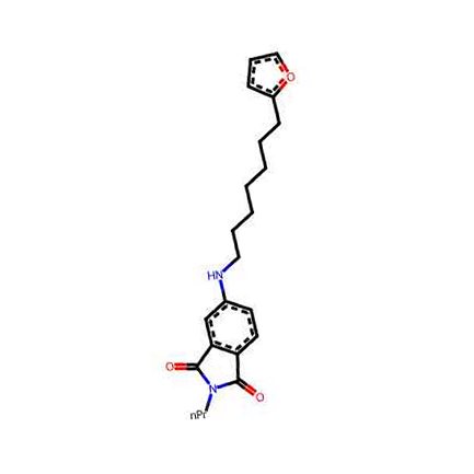 CCCN1C(=O)c2ccc(NCCCCCCCc3ccco3)cc2C1=O